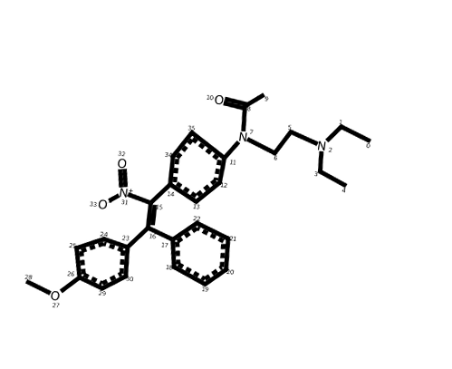 CCN(CC)CCN(C(C)=O)c1ccc(/C(=C(\c2ccccc2)c2ccc(OC)cc2)[N+](=O)[O-])cc1